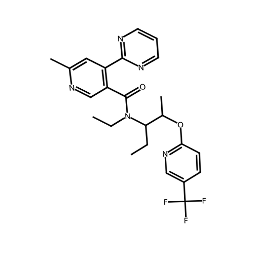 CCC(C(C)Oc1ccc(C(F)(F)F)cn1)N(CC)C(=O)c1cnc(C)cc1-c1ncccn1